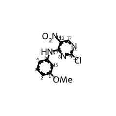 COc1cccc(Nc2nc(Cl)ncc2[N+](=O)[O-])c1